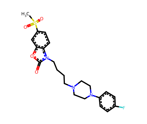 CS(=O)(=O)c1ccc2c(c1)oc(=O)n2CCCCN1CCN(c2ccc(F)cc2)CC1